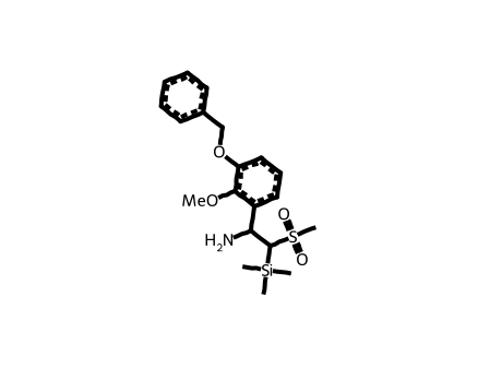 COc1c(OCc2ccccc2)cccc1C(N)C([Si](C)(C)C)S(C)(=O)=O